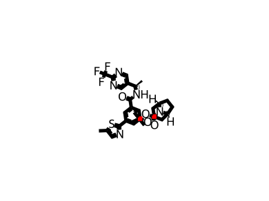 Cc1cnc(-c2cc(O[C@H]3C[C@H]4CC[C@@H](C3)N4C(=O)OC(C)(C)C)cc(C(=O)N[C@H](C)c3cnc(C(F)(F)F)nc3)c2)s1